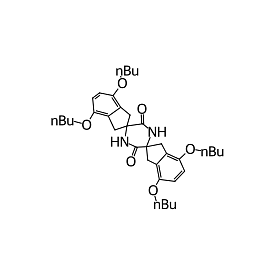 CCCCOc1ccc(OCCCC)c2c1CC1(C2)NC(=O)C2(Cc3c(OCCCC)ccc(OCCCC)c3C2)NC1=O